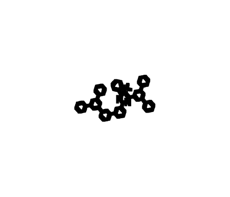 C[Si]1(C)c2ccccc2-c2nc(-c3cccc(-c4cccc(-c5cc(-c6ccccc6)cc(-c6ccccc6)c5)c4)c3)nc(-c3cc(-c4ccccc4)cc(-c4ccccc4)c3)c21